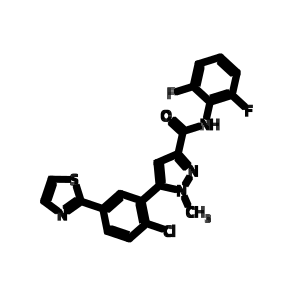 Cn1nc(C(=O)Nc2c(F)cccc2F)cc1-c1cc(-c2nccs2)ccc1Cl